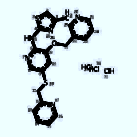 Cc1csc(Nc2ncc(SCc3ccccn3)cc2OCc2cccnc2)n1.Cl.Cl.Cl